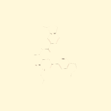 CC(NC(=O)c1ccc2c(c1)B(O)OC2)C(NC(=O)c1ccc2c(c1)B(O)OC2)C(=O)NCCC(=O)O